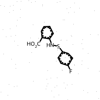 O=C(O)c1ccccc1NSc1ccc(F)cc1